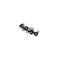 CC[C@@H](C)c1nccnc1N1CCC(NC(=O)c2ccc(-c3cccc(F)c3)nc2)CC1